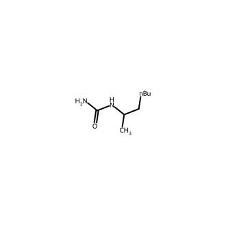 CCCCCC(C)NC(N)=O